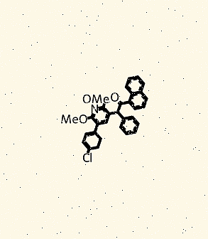 COc1nc(OC)c(C(C(=O)c2cccc3ccccc23)c2ccccc2)cc1C1=CC=C(Cl)CC1